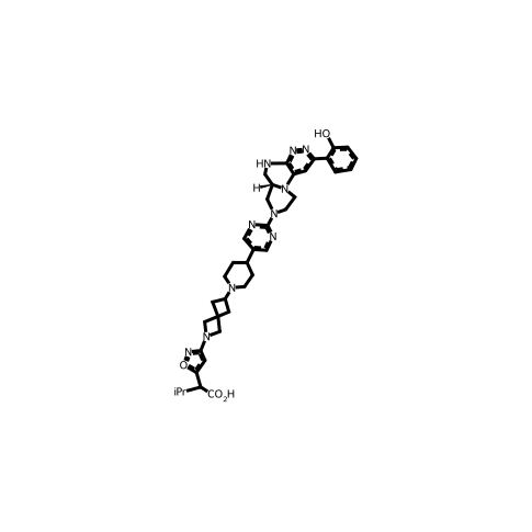 CC(C)C(C(=O)O)c1cc(N2CC3(CC(N4CCC(c5cnc(N6CCN7c8cc(-c9ccccc9O)nnc8NC[C@H]7C6)nc5)CC4)C3)C2)no1